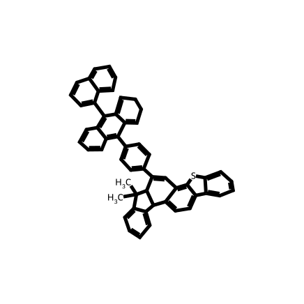 CC1(C)c2ccccc2C2c3ccc4c(sc5ccccc54)c3C=C(c3ccc(-c4c5c(c(-c6cccc7ccccc67)c6ccccc46)=CCCC=5)cc3)C21